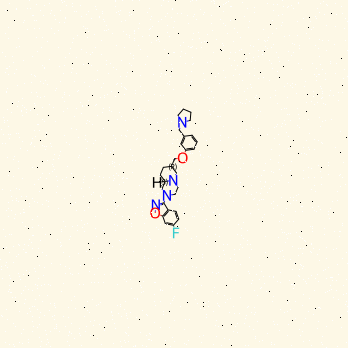 Fc1ccc2c(N3CCN4C[C@H](COc5cccc(CN6CCCC6)c5)CC[C@H]4C3)noc2c1